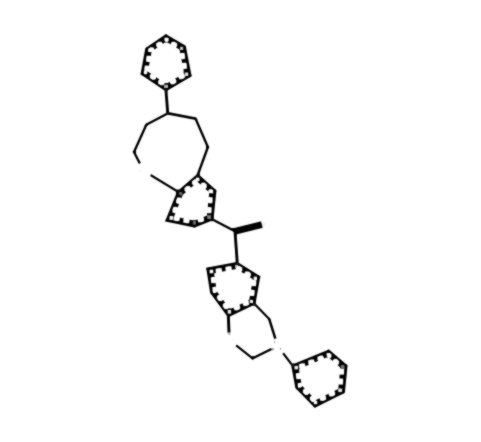 O=C(c1ccc2c(c1)CCC(c1ccccc1)CCO2)c1ccc2c(c1)CN(c1ccccc1)CO2